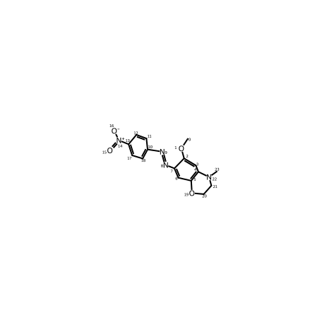 COc1cc2c(cc1N=Nc1ccc([N+](=O)[O-])cc1)OCCN2C